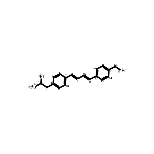 CCCCC(CC)Cc1ccc(C=CC=Cc2ccc(CC(C)C)cc2)cc1